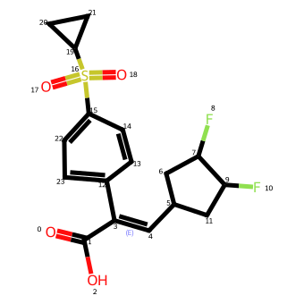 O=C(O)/C(=C/C1CC(F)C(F)C1)c1ccc(S(=O)(=O)C2CC2)cc1